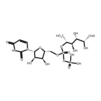 O=C[C@H](O)[C@@H](O)[C@@H](O)[C@H](OP(=O)(OC[C@H]1O[C@@H](n2ccc(=O)[nH]c2=O)[C@H](O)[C@@H]1O)OP(=O)(O)O)C(=O)O